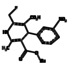 CCC(C)OC(=O)C1=C(C)NC(CF)=C(C(=O)O)C1c1cccc([N+](=O)[O-])c1